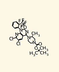 C[C@H]1CN(C(=O)OC(C)(C)C)CCN1c1nc(=O)n(-c2ccccc2S(F)(F)(F)(F)F)c2nc(Cl)c(Cl)cc12